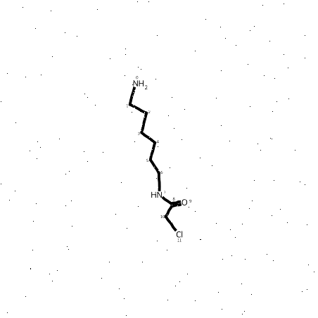 NCCCCCCNC(=O)CCl